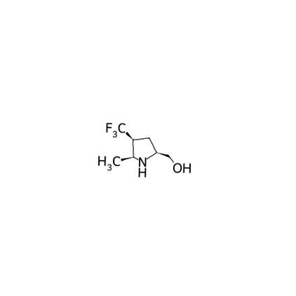 C[C@@H]1N[C@H](CO)C[C@@H]1C(F)(F)F